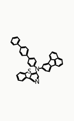 c1ccc(-c2ccc(-c3ccc(N(c4ccc5c(c4)-c4cccc6cccc-5c46)c4cncc5c4sc4ccccc45)cc3)cc2)cc1